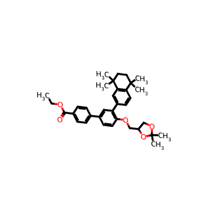 CCOC(=O)c1ccc(-c2ccc(OCC3COC(C)(C)O3)c(-c3ccc4c(c3)C(C)(C)CCC4(C)C)c2)cc1